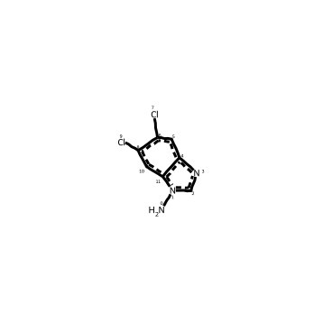 Nn1cnc2cc(Cl)c(Cl)cc21